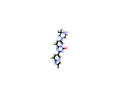 Cc1cn2cc(-c3nc(=O)n4cc(N5CCNC(C)(C)C5)cc(F)c4n3)cc(F)c2n1